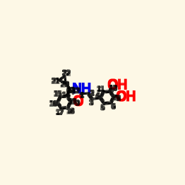 O=C(C=Cc1ccc(O)c(O)c1)N[C@H](c1ccccc1)C1CC1